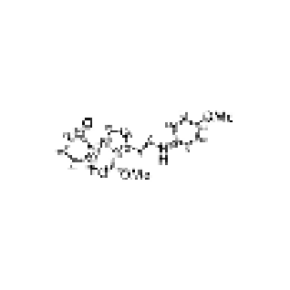 COC(=O)C1=C(C=CNc2ccc(OC)cc2)OCN1c1c(F)cccc1Cl